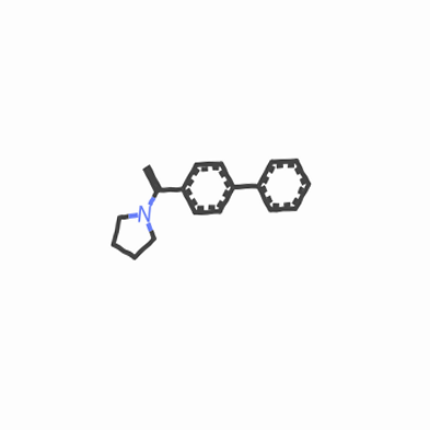 C=C(c1ccc(-c2ccccc2)cc1)N1CCCC1